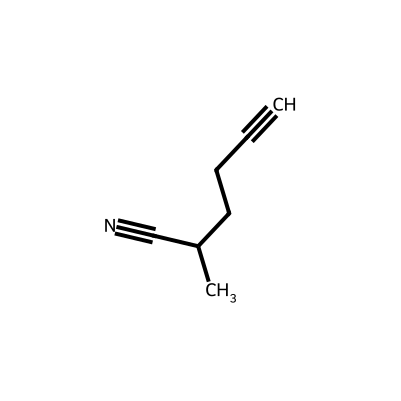 C#CCCC(C)C#N